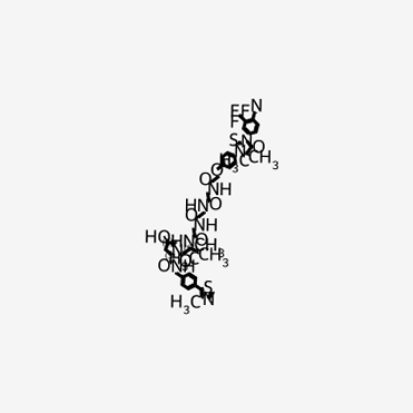 Cc1ncsc1-c1ccc(CNC(=O)[C@@H]2C[C@@H](O)CN2C(=O)[C@@H](NC(=O)CNC(=O)CNC(=O)CNC(=O)COc2ccc(N3C(=S)N(c4ccc(C#N)c(C(F)(F)F)c4)C(=O)C3(C)C)cc2)C(C)(C)C)cc1